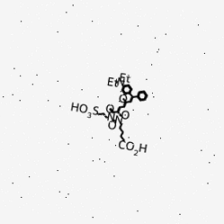 CCN(CC)c1ccc2c(c1)O/C(=C\C=C1/C(=O)N(CCCCCC(=O)O)C(=O)N(CCCS(=O)(=O)O)C1=O)C=C2c1ccccc1